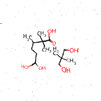 CC(C)(CO)CO.CC(CCC(O)O)C(C)(C)C(=O)O